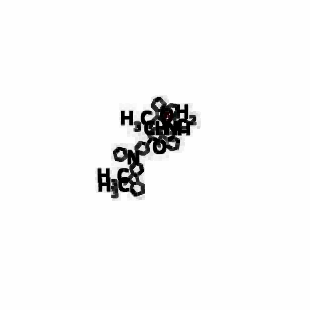 C=C(NC(c1oc2ccccc2c1C(=C)C)c1ccc(-c2ccc(N(c3ccccc3)c3ccc4c(c3)C(C)(C)C3C=CC=CC43)cc2)c2oc3ccccc3c12)c1ccccc1